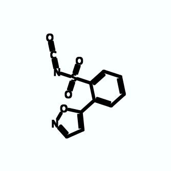 O=C=NS(=O)(=O)c1ccccc1-c1ccno1